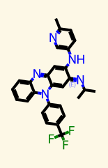 Cc1ccc(Nc2cc3nc4ccccc4n(-c4ccc(C(F)(F)F)cc4)c-3c/c2=N\C(C)C)cn1